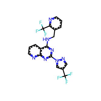 FC(F)(F)c1cnn(-c2nc(NCc3cccnc3C(F)(F)F)c3cccnc3n2)c1